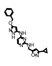 c1ccc(COc2cc(Nc3ccnc(NCc4cc(C5CC5)no4)n3)[nH]n2)cc1